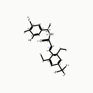 CCc1cc(C(F)(F)F)cc(CC)c1/C=C/C(=O)N[C@H](C)c1cc(F)c(C)c(F)c1